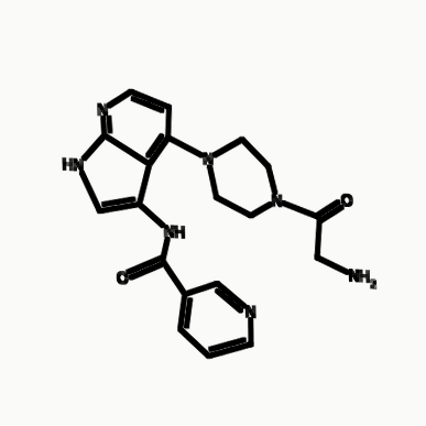 NCC(=O)N1CCN(c2ccnc3[nH]cc(NC(=O)c4cccnc4)c23)CC1